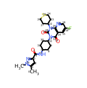 Cc1cc(C(=O)NC2CCC(n3c(=O)c4cc(F)cnc4n(C4CCSCC4)c3=O)CC2)nn1C